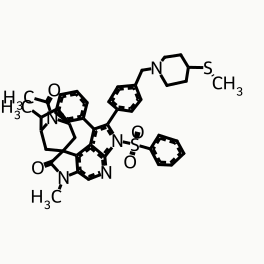 CSC1CCN(Cc2ccc(-c3c(-c4ccccc4)c4c5c(cnc4n3S(=O)(=O)c3ccccc3)N(C)C(=O)C53CC4CC(C)C(C3)N4C(C)=O)cc2)CC1